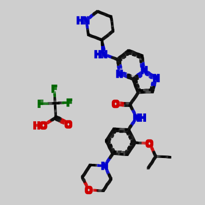 CC(C)Oc1cc(N2CCOCC2)ccc1NC(=O)c1cnn2ccc(N[C@@H]3CCCNC3)nc12.O=C(O)C(F)(F)F